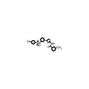 Cc1cccc(C(=O)Nc2nc(-c3cccc(NS(=O)(=O)c4ccc(Cl)cc4)c3)cs2)c1